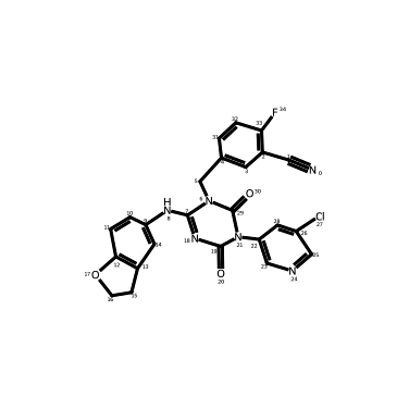 N#Cc1cc(Cn2c(Nc3ccc4c(c3)CCO4)nc(=O)n(-c3cncc(Cl)c3)c2=O)ccc1F